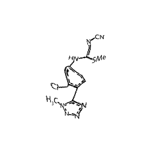 CS/C(=N\C#N)Nc1ccc(-c2nnnn2C)c(Cl)c1